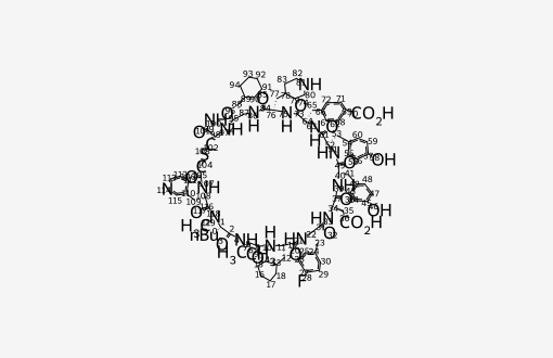 CCCC[C@H]1C(=O)NC(C)(C)C(=O)N[C@@H](CC2CCCCC2)C(=O)N[C@@H](Cc2ccc(F)cc2)C(=O)N[C@H](CC(=O)O)C(=O)N[C@@H](Cc2ccc(O)cc2)C(=O)N[C@@H](Cc2ccc(O)cc2)C(=O)N[C@@H](Cc2ccc(C(=O)O)cc2)C(=O)N[C@@H](CC2CCNCC2)C(=O)N[C@@H](CC2CCCCC2)C(=O)N[C@H](C(N)=O)CSCC(=O)N[C@@H](Cc2cccnc2)C(=O)N1C